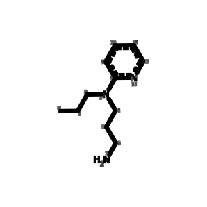 CCCN(CCCN)c1ccccn1